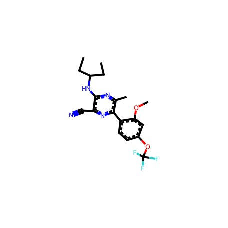 CCC(CC)Nc1nc(C)c(-c2ccc(OC(F)(F)F)cc2OC)nc1C#N